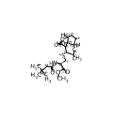 COC(=O)[C@H](CS[C@H]1C2C(=O)O[C@@H]3CC[C@H](C[C@@H]1C)[C@]23O)NC(=O)CC(C)(C)C